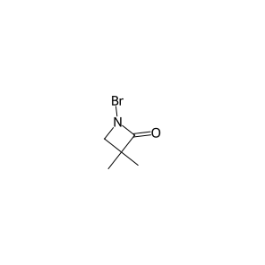 CC1(C)CN(Br)C1=O